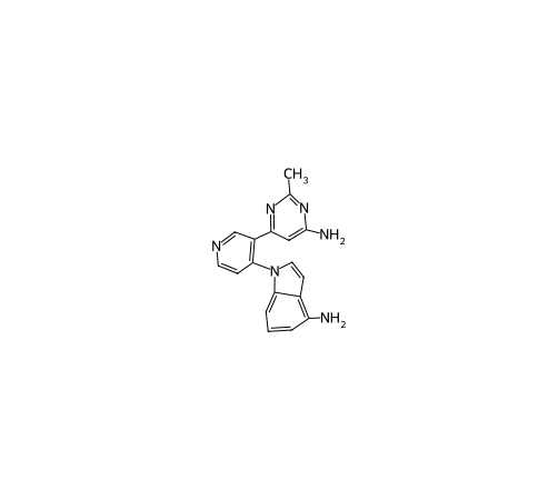 Cc1nc(N)cc(-c2cnccc2-n2ccc3c(N)cccc32)n1